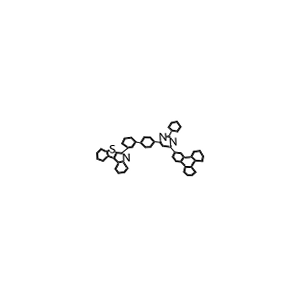 c1ccc(-c2nc(-c3ccc(-c4cccc(-c5nc6ccccc6c6c5sc5ccccc56)c4)cc3)cc(-c3ccc4c5ccccc5c5ccccc5c4c3)n2)cc1